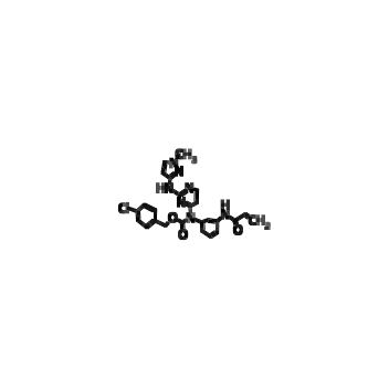 C=CC(=O)Nc1cccc(N(C(=O)OCc2ccc(Cl)cc2)c2ccnc(Nc3ccn(C)n3)n2)c1